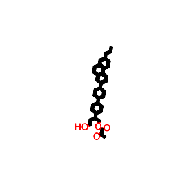 CCCc1ccc2c(c1)CCc1cc(C3CCC(C4CCC(C(CCO)COC(=O)C(C)=O)CC4)CC3)ccc1-2